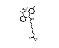 Cc1ccc2c(c1)S(=O)(=O)N(C)c1ccccc1C2NCCCCCCC(=O)O